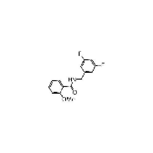 COc1ccccc1C(=O)NCc1cc(F)cc(F)c1